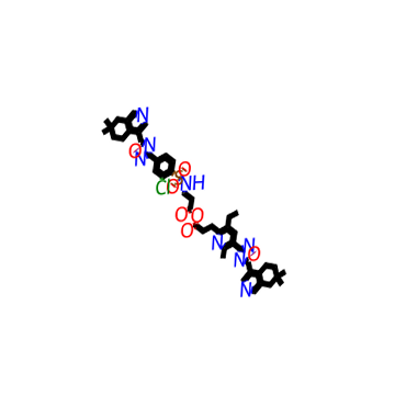 CCc1cc(-c2noc(-c3cncc4c3CCC(C)(C)C4)n2)c(C)nc1CCC(=O)OC(=O)CCNS(=O)(=O)c1ccc(-c2noc(-c3cncc4c3CCC(C)(C)C4)n2)cc1Cl